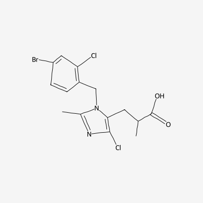 Cc1nc(Cl)c(CC(C)C(=O)O)n1Cc1ccc(Br)cc1Cl